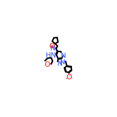 COc1ccc(Cn2ncc3c(NC4CCOCC4)c(C4=NOC5(CCCC5)C4)cnc32)cc1